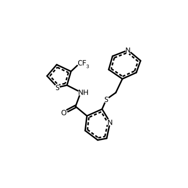 O=C(Nc1sccc1C(F)(F)F)c1cccnc1SCc1ccncc1